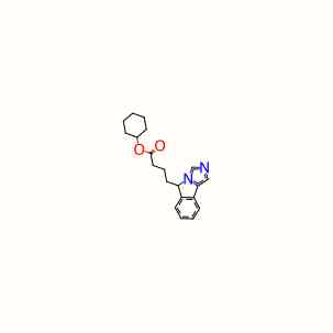 O=C(CCCC1c2ccccc2-c2cncn21)OC1CCCCC1